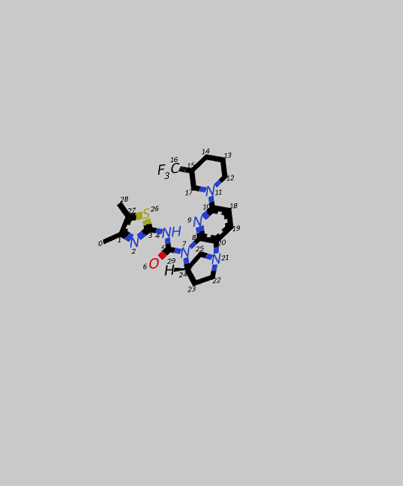 Cc1nc(NC(=O)N2c3nc(N4CCCC(C(F)(F)F)C4)ccc3N3CC[C@H]2C3)sc1C